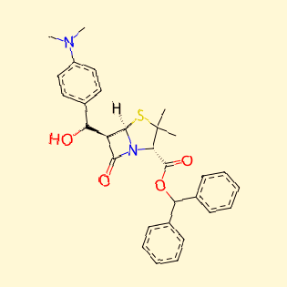 CN(C)c1ccc(C(O)[C@@H]2C(=O)N3[C@@H]2SC(C)(C)[C@@H]3C(=O)OC(c2ccccc2)c2ccccc2)cc1